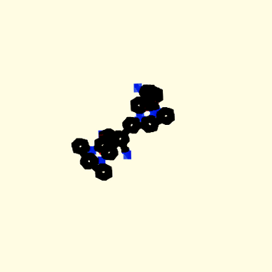 N#Cc1cccc(C#N)c1-c1cccc(-n2c3ccc(-c4cc(C#N)c(-c5ccc(-n6c7ccccc7c7ccc8c9ccccc9n(-c9ccc%10ccccc%10c9)c8c76)cc5)c(C#N)c4)cc3c3ccc4c5ccccc5n(-c5ccc6ccccc6c5)c4c32)c1